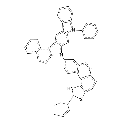 C1=CCC(C2Nc3c(ccc4ccc5cc(-n6c7cc8c(cc7c7c9ccccc9ccc76)c6ccccc6n8-c6ccccc6)ccc5c34)S2)C=C1